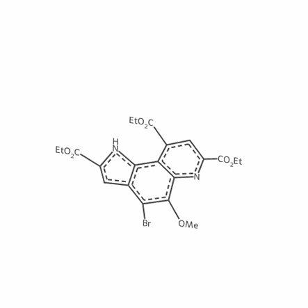 CCOC(=O)c1cc(C(=O)OCC)c2c(n1)c(OC)c(Br)c1cc(C(=O)OCC)[nH]c12